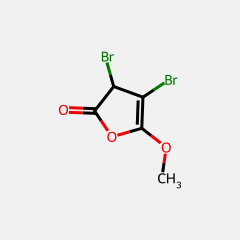 COC1=C(Br)C(Br)C(=O)O1